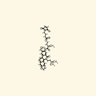 CN(C)CCn1c(=O)c2cc(OC(=O)N(C)CCOC(=O)CCCN3C(=O)C=CC3=O)c(CO)cc2c2cnc3cc4c(cc3c21)OCO4